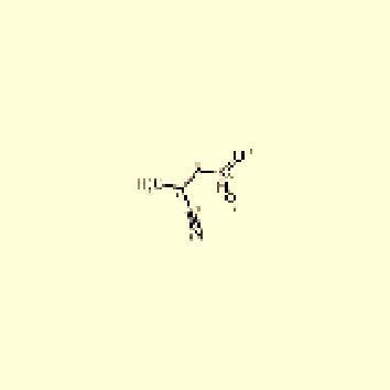 CC(C#N)C[SH](=O)=O